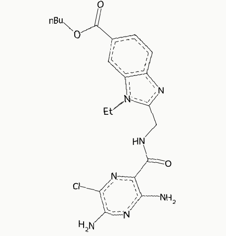 CCCCOC(=O)c1ccc2nc(CNC(=O)c3nc(Cl)c(N)nc3N)n(CC)c2c1